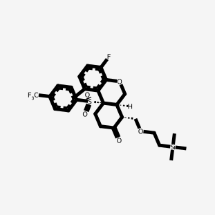 C[Si](C)(C)CCOC[C@@H]1C(=O)CC[C@@]2(S(=O)(=O)c3ccc(C(F)(F)F)cc3)c3c(F)ccc(F)c3OC[C@@H]12